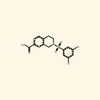 NC(=O)c1n[c]c2c(n1)CN(S(=O)(=O)c1cc(Cl)cc(Cl)c1)CC2